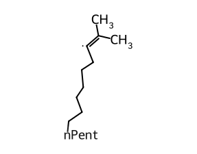 CCCCCCCCCCC[C]=C(C)C